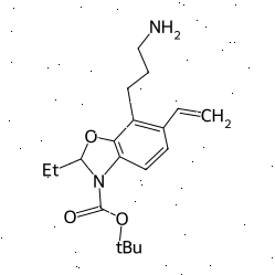 C=Cc1ccc2c(c1CCCN)OC(CC)N2C(=O)OC(C)(C)C